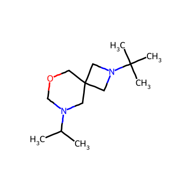 CC(C)N1COCC2(C1)CN(C(C)(C)C)C2